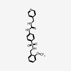 O=S(=O)(NCc1ccccc1OC(F)(F)F)c1ccc(NC(=S)NCc2ccncc2)cc1